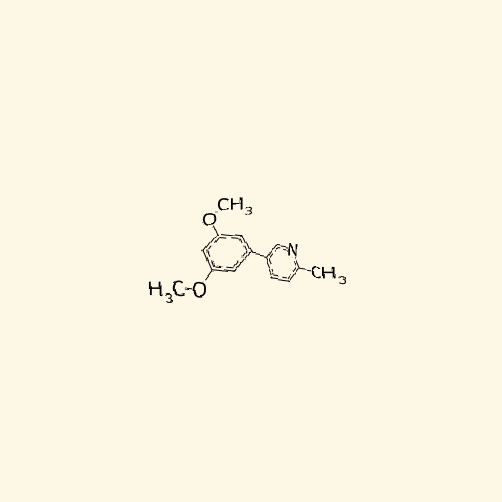 COc1cc(OC)cc(-c2ccc(C)nc2)c1